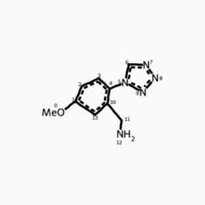 COc1ccc(-n2cnnn2)c(CN)c1